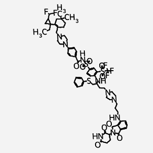 CCC1(C2=C(CN3CCN(c4ccc(C(=O)NS(=O)(=O)c5ccc(NC(CCN6CCN(CCCNc7cccc8c7C(=O)N(C7CCC(=O)NC7=O)C8=O)CC6)CSc6ccccc6)c(S(=O)(=O)C(F)(F)F)c5)cc4)CC3)CCC(C)(C)C2)CC1C(F)F